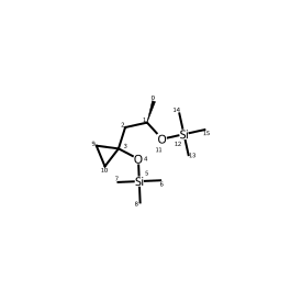 C[C@H](CC1(O[Si](C)(C)C)CC1)O[Si](C)(C)C